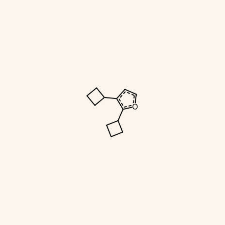 c1cc(C2CCC2)c(C2CCC2)o1